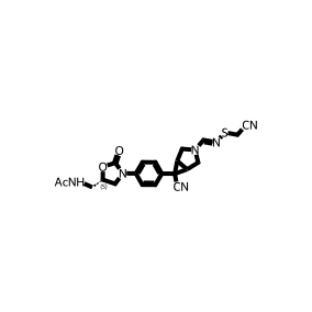 CC(=O)NC[C@H]1CN(c2ccc(C3(C#N)C4CN(C=NSCC#N)CC43)cc2)C(=O)O1